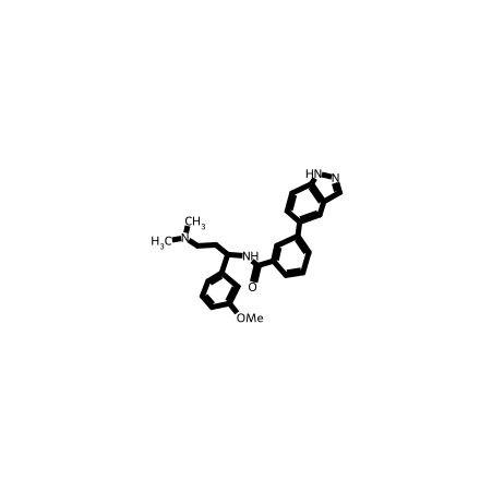 COc1cccc(C(CCN(C)C)NC(=O)c2cccc(-c3ccc4[nH]ncc4c3)c2)c1